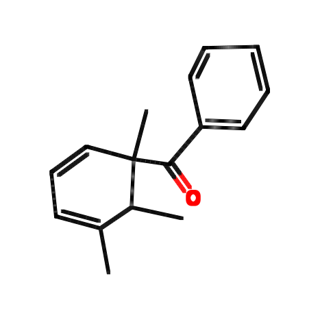 CC1=CC=CC(C)(C(=O)c2ccccc2)C1C